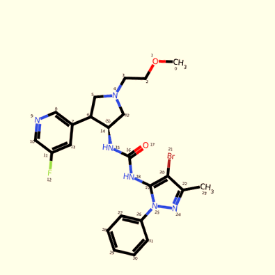 COCCN1CC(c2cncc(F)c2)[C@H](NC(=O)Nc2c(Br)c(C)nn2-c2ccccc2)C1